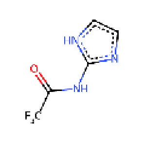 O=C(Nc1ncc[nH]1)C(F)(F)F